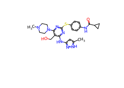 Cc1cc(Nc2nc(Sc3ccc(NC(=O)C4CC4)cc3)nc(N3CCN(C)CC3)c2CO)n[nH]1